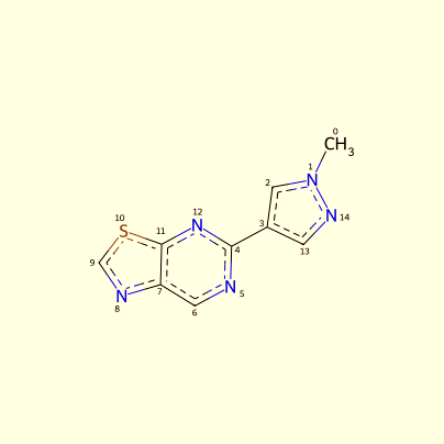 Cn1cc(-c2ncc3ncsc3n2)cn1